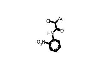 CC(=O)C(Cl)C(=O)Nc1ccccc1[N+](=O)[O-]